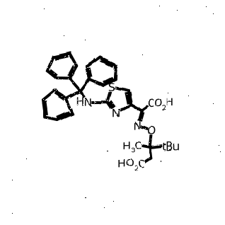 CC(C)(C)C(C)(CC(=O)O)ON=C(C(=O)O)c1csc(NC(c2ccccc2)(c2ccccc2)c2ccccc2)n1